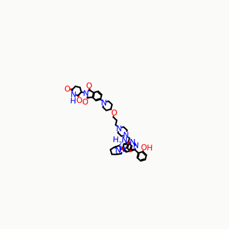 Nc1nnc(-c2ccccc2O)cc1N1CC2CCC(C1)N2c1cccc(CN2CCN(CCCOC3CCN(c4ccc5c(c4)C(=O)N(C4CCC(=O)NC4=O)C5=O)CC3)CC2)c1